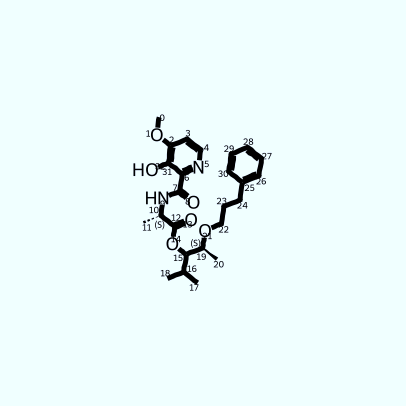 COc1ccnc(C(=O)N[C@@H](C)C(=O)OC(C(C)C)[C@H](C)OCCCc2ccccc2)c1O